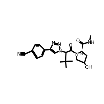 CNC(=O)[C@H]1CC(O)CN1C(=O)C(n1cc(-c2ccc(C#N)cc2)nn1)C(C)(C)C